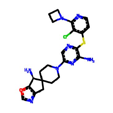 Nc1nc(N2CCC3(CC2)Cc2ncoc2[C@H]3N)cnc1Sc1ccnc(N2CCC2)c1Cl